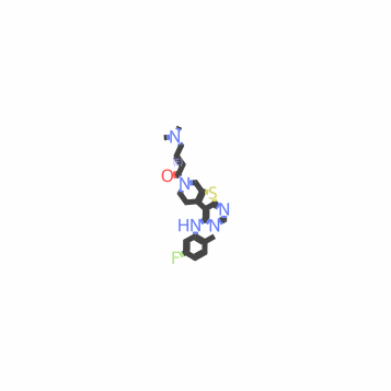 Cc1ccc(F)cc1Nc1ncnc2sc3c(c12)CCN(C(=O)/C=C/CN(C)C)C3